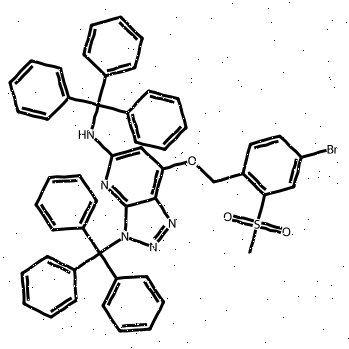 CS(=O)(=O)c1cc(Br)ccc1COc1cc(NC(c2ccccc2)(c2ccccc2)c2ccccc2)nc2c1nnn2C(c1ccccc1)(c1ccccc1)c1ccccc1